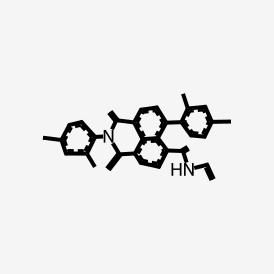 C=CNC(=C)c1ccc2c3c(ccc(-c4ccc(C)cc4C)c13)C(=C)N(c1ccc(C)cc1C)C2=C